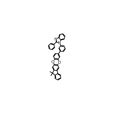 CC1(C)c2ccccc2-c2cc3c(cc21)Oc1ccc(-c2cccc(-n4c(-c5ccccc5)nc5ccccc54)c2)cc1O3